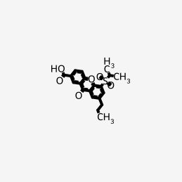 CCCc1cc(S(=O)(=O)C(C)C)c2oc3ccc(C(=O)O)cc3c(=O)c2c1